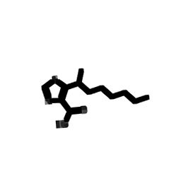 CCCCCCC(C)c1scnc1C(=O)O